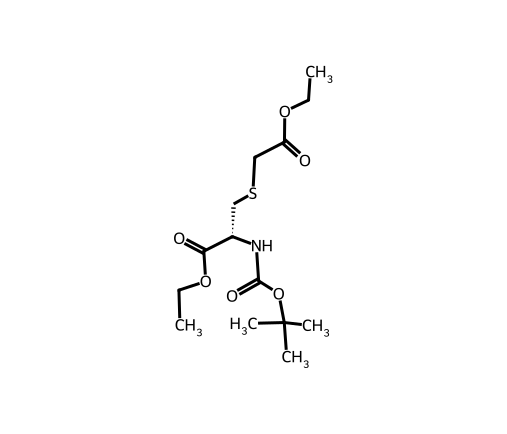 CCOC(=O)CSC[C@H](NC(=O)OC(C)(C)C)C(=O)OCC